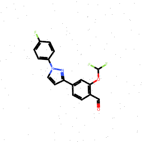 O=Cc1ccc(-c2ccn(-c3ccc(F)cc3)n2)cc1OC(F)F